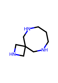 C1CNCC2(CNC1)CNC2